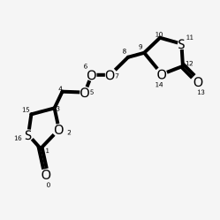 O=C1OC(COOOCC2CSC(=O)O2)CS1